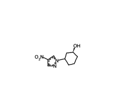 O=[N+]([O-])c1cnn(C2CCC[C@H](O)C2)c1